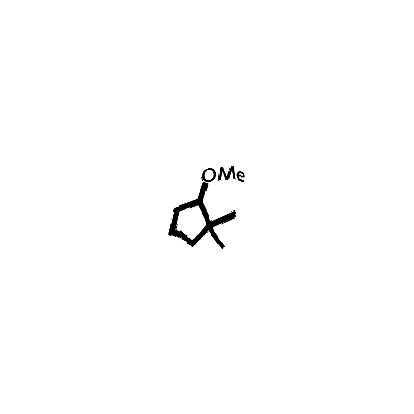 COC1CCCC1(C)C